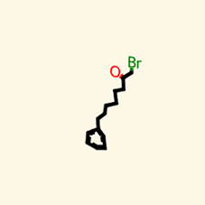 O=C(CBr)CCCCCCc1ccccc1